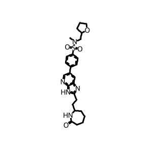 CN(CC1CCCO1)S(=O)(=O)c1ccc(-c2cnc3[nH]c(CCC4CCCCC(=O)N4)nc3c2)cc1